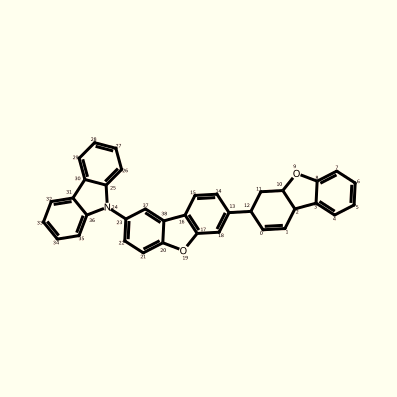 C1=CC2c3ccccc3OC2CC1c1ccc2c(c1)oc1ccc(-n3c4ccccc4c4ccccc43)cc12